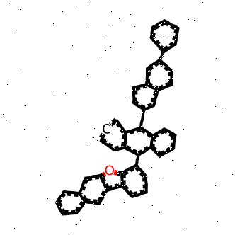 c1ccc(-c2ccc3cc(-c4c5ccccc5c(-c5cccc6c5oc5cc7ccccc7cc56)c5ccccc45)ccc3c2)cc1